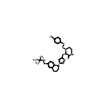 CC(C)(C)NCc1ccc2c(c1)CCC[C@H]2n1cc(C[C@@H]2C(=O)NCCN2OSc2ccc(Cl)cc2)nn1